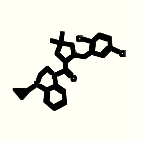 CC1(C)CC(C(=O)N2CCN(C3CC3)c3ccccc32)N(Cc2cc(Cl)ccc2Cl)C1